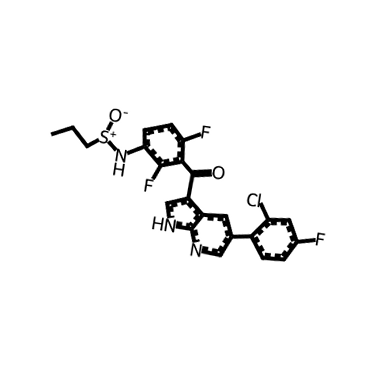 CCC[S+]([O-])Nc1ccc(F)c(C(=O)c2c[nH]c3ncc(-c4ccc(F)cc4Cl)cc23)c1F